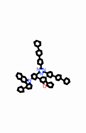 c1ccc(-c2ccc(-c3ccc(-c4nc(-c5ccc(-c6ccc(-c7ccccc7)cc6)cc5)nc(-c5ccc(-n6c7cc8ccccc8cc7c7c(-c8ccccc8)cccc76)cc5-c5ccc6c(c5)oc5ccccc56)n4)cc3)cc2)cc1